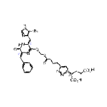 CC(C)(C)c1[nH]cnc1/C=c1\[nH]c(=O)/c(=C/c2ccccc2)nc1OCOC(=O)CCCc1cn([C@@H](CCC(=O)O)C(=O)O)nn1